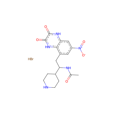 Br.CC(=O)NC(Cc1cc([N+](=O)[O-])cc2[nH]c(=O)c(=O)[nH]c12)C1CCNCC1